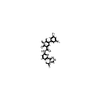 Cc1c(-c2cc(F)cc(F)c2)cc(C(=O)Nc2cccc(-c3nncn3C(C)C)n2)c(=O)n1C